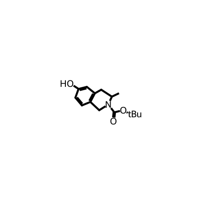 CC1Cc2cc(O)ccc2CN1C(=O)OC(C)(C)C